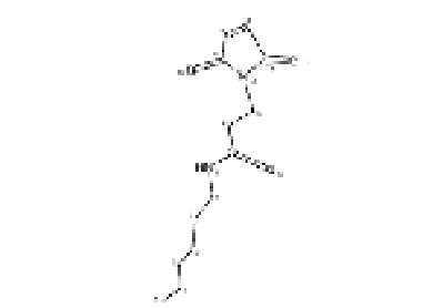 CCCCCCNC(=O)CCN1C(=O)C=CC1=O